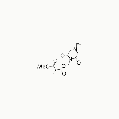 CCN1CC(=O)N(COC(=O)C(C)C(=O)OC)C(=O)C1